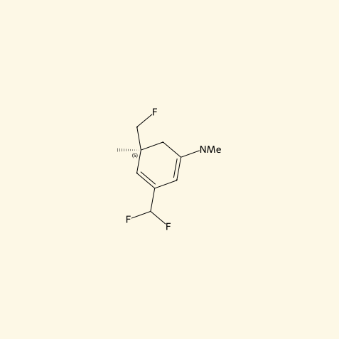 CNC1=CC(C(F)F)=C[C@@](C)(CF)C1